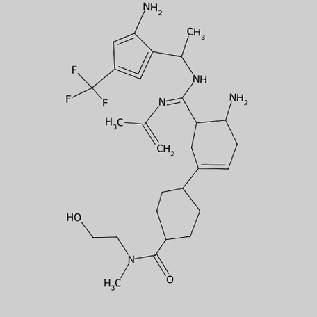 C=C(C)/N=C(/NC(C)C1=C=C(C(F)(F)F)C=C1N)C1CC(C2CCC(C(=O)N(C)CCO)CC2)=CCC1N